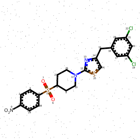 O=[N+]([O-])c1ccc(S(=O)(=O)C2CCN(c3nc(Cc4cc(Cl)cc(Cl)c4)cs3)CC2)cc1